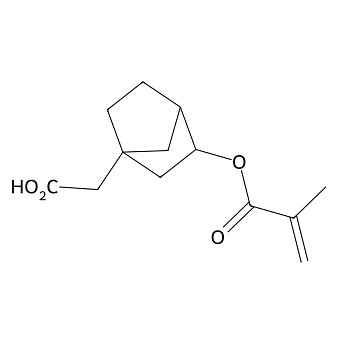 C=C(C)C(=O)OC1CC2(CC(=O)O)CCC1C2